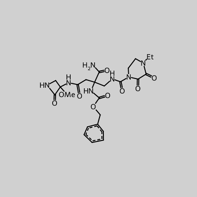 CCN1CCN(C(=O)NCC(CC(=O)NC2(OC)CNC2=O)(NC(=O)OCc2ccccc2)C(N)=O)C(=O)C1=O